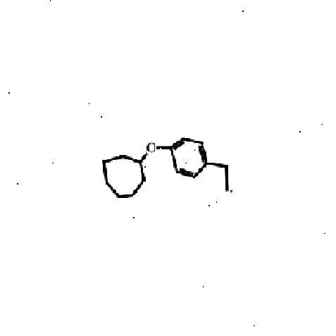 [CH2]Cc1ccc(OC2CCCCCC2)cc1